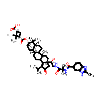 Cc1nc2ccc(C(=O)NC(C)(C)C(=O)NC[C@H](O)[C@@]34CC[C@]5(C)C(CC[C@@H]6[C@@]7(C)CC[C@H](OC(=O)[C@H]8C[C@@H](C(=O)O)C8(C)C)C(C)(C)[C@@H]7CC[C@]65C)C3=C(C(C)C)C(=O)C4)cc2[nH]1